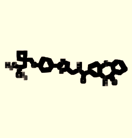 CN(C)CC1(COc2ccc(-c3ncc(CNC(=O)c4ccc5c(c4)NC(=O)c4ccccc4S5)s3)cc2)CCC1